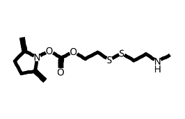 C=C1CCC(=C)N1OC(=O)OCCSSCCNC